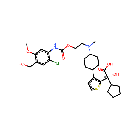 COc1cc(NC(=O)OCCN(C)[C@H]2CC[C@H](c3ccsc3[C@@](O)(C(=O)O)C3CCCC3)CC2)c(Cl)cc1CO